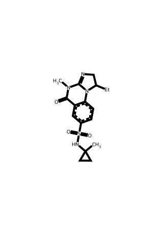 CCC1CN=C2N(C)C(=O)c3cc(S(=O)(=O)NC4(C)CC4)ccc3N21